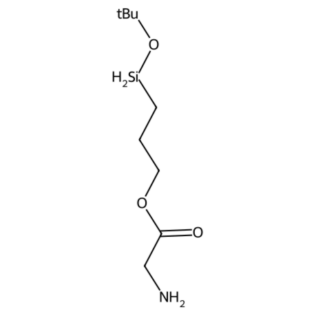 CC(C)(C)O[SiH2]CCCOC(=O)CN